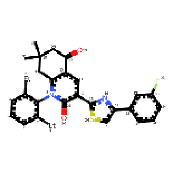 CCc1cccc(CC)c1-n1c2c(cc(-c3nc(-c4cccc(F)c4)cs3)c1=O)C(=O)CC(C)(C)C2